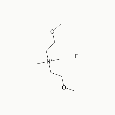 COCC[N+](C)(C)CCOC.[I-]